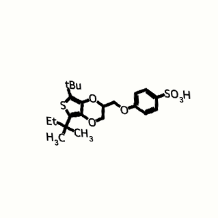 CCC(C)(C)c1sc(C(C)(C)C)c2c1OCC(COc1ccc(S(=O)(=O)O)cc1)O2